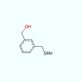 CSCc1cccc(CO)c1